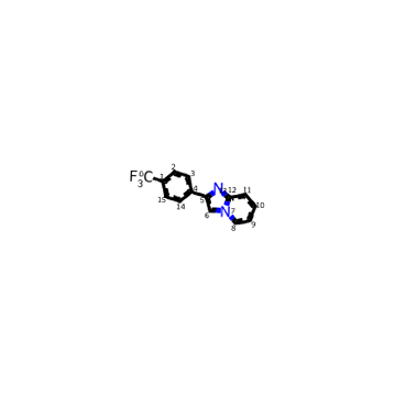 FC(F)(F)c1ccc(-c2cn3ccccc3n2)cc1